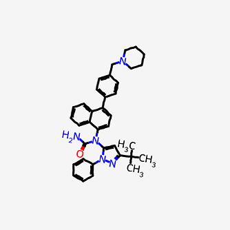 CC(C)(C)c1cc(N(C(N)=O)c2ccc(-c3ccc(CN4CCCCC4)cc3)c3ccccc23)n(-c2ccccc2)n1